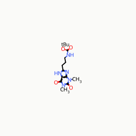 Cn1c(=O)c2[nH]c(CCCNC(=O)OC(C)(C)C)nc2n(C)c1=O